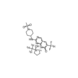 [2H]C(F)(F)c1cc2cnc(NC3CCN(S(C)(=O)=O)CC3)nc2n([C@@H]2CCC[C@]2(O)C([2H])([2H])[2H])c1=O